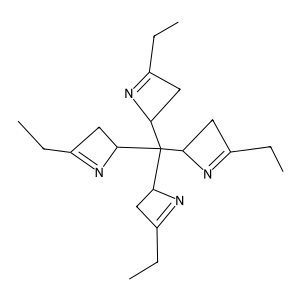 CCC1=NC(C(C2CC(CC)=N2)(C2CC(CC)=N2)C2CC(CC)=N2)C1